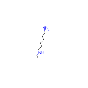 CCNCCCCCCN